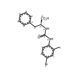 Cc1cc(Br)ccc1NC(=O)N[C@@H](Cc1ccccc1)C(=O)O